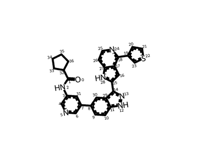 O=C(Nc1cncc(-c2ccc3[nH]nc(-c4cc5c(-c6ccsc6)nccc5[nH]4)c3c2)c1)C1CCCC1